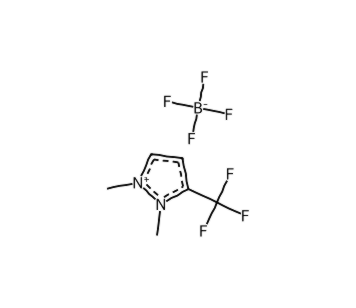 Cn1c(C(F)(F)F)cc[n+]1C.F[B-](F)(F)F